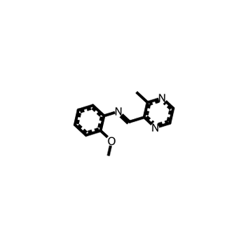 COc1ccccc1N=Cc1nccnc1C